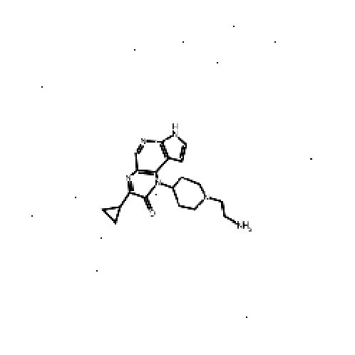 NCCN1CCC(n2c(=O)c(C3CC3)nc3cnc4[nH]ccc4c32)CC1